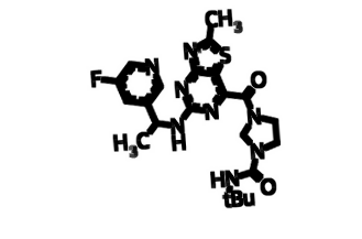 Cc1nc2nc(NC(C)c3cncc(F)c3)nc(C(=O)N3CCN(C(=O)NC(C)(C)C)C3)c2s1